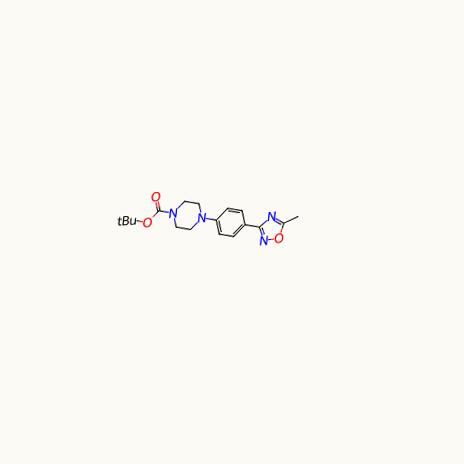 Cc1nc(-c2ccc(N3CCN(C(=O)OC(C)(C)C)CC3)cc2)no1